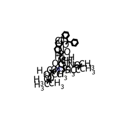 CC[C@]1(CNC(=O)/C(=N\OC(C)(C)C(=O)OC(C)(C)C)c2nc(NC(=O)OC(C)(C)C)sc2Cl)C(=O)N2C(C(=O)OC(c3ccccc3)c3ccccc3)=C(CCl)CC[C@@H]21